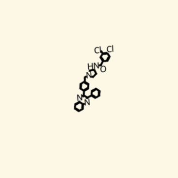 O=C(NC1CCN(Cc2ccc(-c3nc4ccccc4nc3-c3ccccc3)cc2)C1)c1ccc(Cl)c(Cl)c1